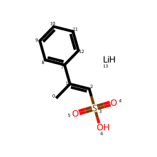 CC(=CS(=O)(=O)O)c1ccccc1.[LiH]